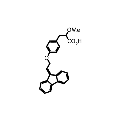 COC(Cc1ccc(OCC=C2c3ccccc3-c3ccccc32)cc1)C(=O)O